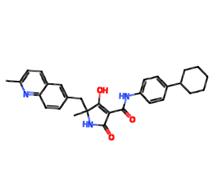 Cc1ccc2cc(CC3(C)NC(=O)C(C(=O)Nc4ccc(C5CCCCC5)cc4)=C3O)ccc2n1